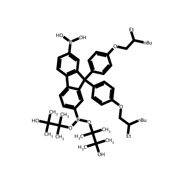 CCCCC(CC)COc1ccc(C2(c3ccc(OCC(CC)CCCC)cc3)c3cc(B(O)O)ccc3-c3ccc(B(OC(C)(C)C(C)(C)O)OC(C)(C)C(C)(C)O)cc32)cc1